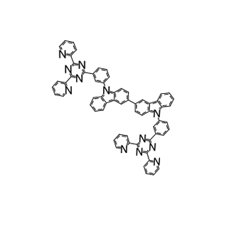 c1ccc(-c2nc(-c3cccc(-n4c5ccccc5c5cc(-c6ccc7c(c6)c6ccccc6n7-c6cccc(-c7nc(-c8ccccn8)nc(-c8ccccn8)n7)c6)ccc54)c3)nc(-c3ccccn3)n2)nc1